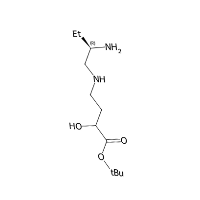 CC[C@@H](N)CNCCC(O)C(=O)OC(C)(C)C